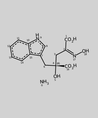 N.O=C(O)C(C[C@](O)(Cc1c[nH]c2ccccc12)C(=O)O)=NO